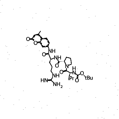 Cc1cc(=O)oc2cc(NC(=O)[C@H](CCCNC(=N)N)NC(=O)[C@@H]3CCCN3C(=O)[C@@H](NC(=O)OC(C)(C)C)C(C)C)ccc12